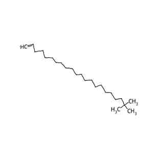 [CH]=CCCCCCCCCCCCCCCCCCCC(C)(C)C